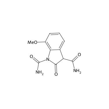 COc1cccc2c1N(C(N)=O)C(=O)C2C(N)=O